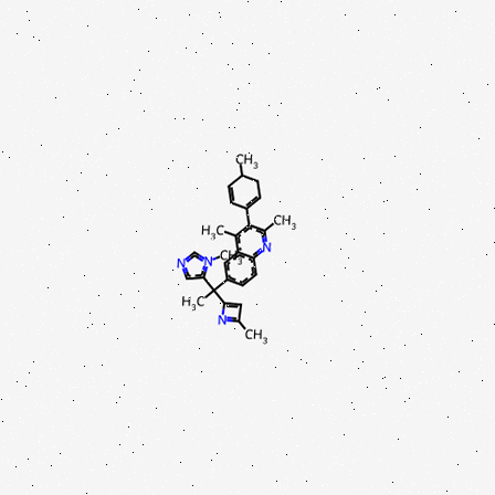 CC1=NC(C(C)(c2ccc3nc(C)c(C4=CCC(C)C=C4)c(C)c3c2)c2cncn2C)=C1